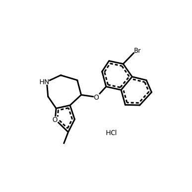 Cc1cc2c(o1)CNCCC2Oc1ccc(Br)c2ccccc12.Cl